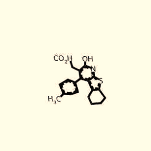 Cc1ccc(-c2c(CC(=O)O)c(O)nc3sc4c(c23)CCCC4)cc1